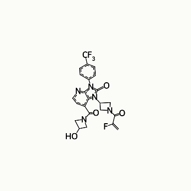 C=C(F)C(=O)N1CC(n2c(=O)n(-c3ccc(C(F)(F)F)cc3)c3nccc(C(=O)N4CC(O)C4)c32)C1